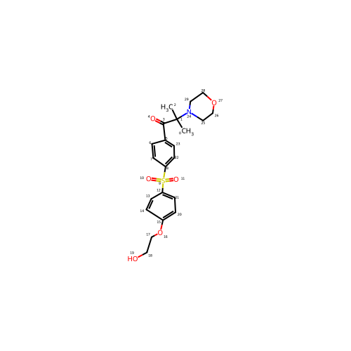 CC(C)(C(=O)c1ccc(S(=O)(=O)c2ccc(OCCO)cc2)cc1)N1CCOCC1